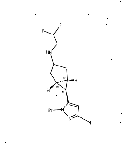 CC(C)n1nc(I)cc1[C@H]1[C@@H]2CC(NCC(F)F)C[C@@H]21